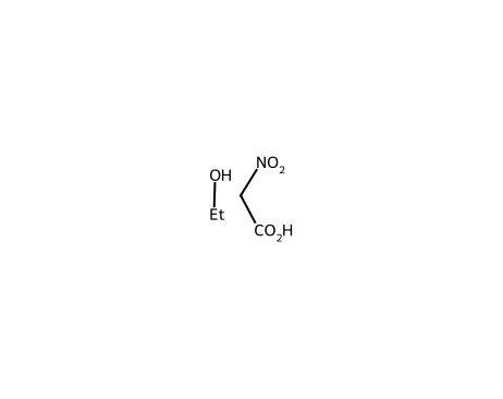 CCO.O=C(O)C[N+](=O)[O-]